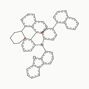 c1ccc(N(c2ccc(-c3cccc4ccccc34)cc2)c2cccc3c2oc2ccccc23)c(-c2cccc3cccc(C4CCCCC4)c23)c1